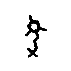 Cc1cc(C)c(CCC[Si](C)(C)C)c(C)c1